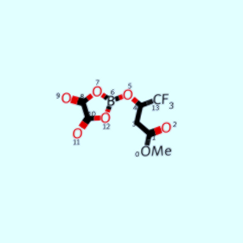 COC(=O)CC(OB1OC(=O)C(=O)O1)C(F)(F)F